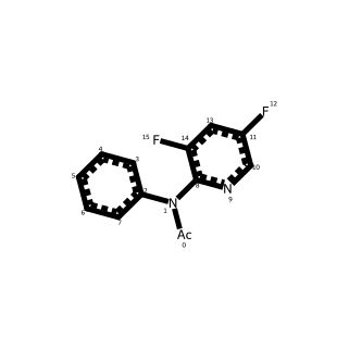 CC(=O)N(c1ccccc1)c1ncc(F)cc1F